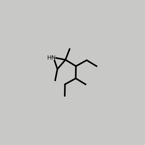 CCC(C)C(CC)C1(C)NC1C